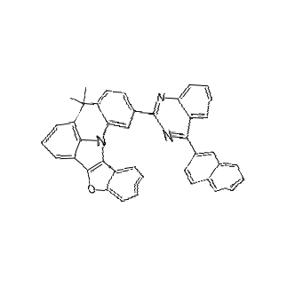 CC1(C)c2ccc(-c3nc(-c4ccc5ccccc5c4)c4ccccc4n3)cc2-n2c3c1cccc3c1oc3ccccc3c12